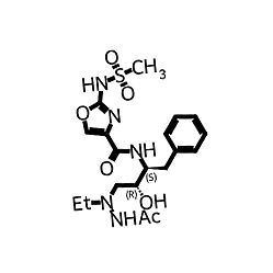 CCN(C[C@@H](O)[C@H](Cc1ccccc1)NC(=O)c1coc(NS(C)(=O)=O)n1)NC(C)=O